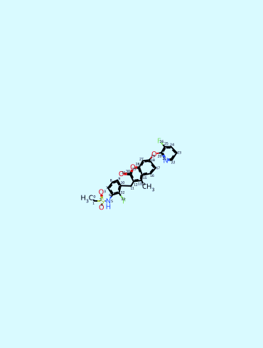 CCS(=O)(=O)Nc1cccc(Cc2c(C)c3ccc(Oc4ncccc4F)cc3oc2=O)c1F